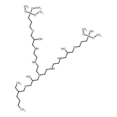 CCCCC(CC)COCC(O)CN(CCNCCNCC(O)COCCC[Si](O)(OC)OC)CCNCCNCC(O)COCCC[Si](OC)(OC)OC